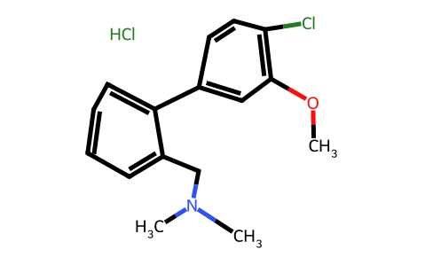 COc1cc(-c2ccccc2CN(C)C)ccc1Cl.Cl